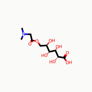 CN(C)CC(=O)OC[C@@H](O)[C@@H](O)[C@H](O)[C@@H](O)C(=O)O